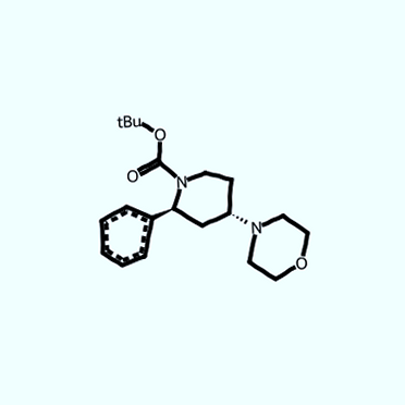 CC(C)(C)OC(=O)N1CC[C@H](N2CCOCC2)C[C@H]1c1ccccc1